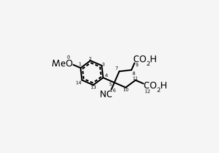 COc1ccc(C(C#N)(CCC(=O)O)CCC(=O)O)cc1